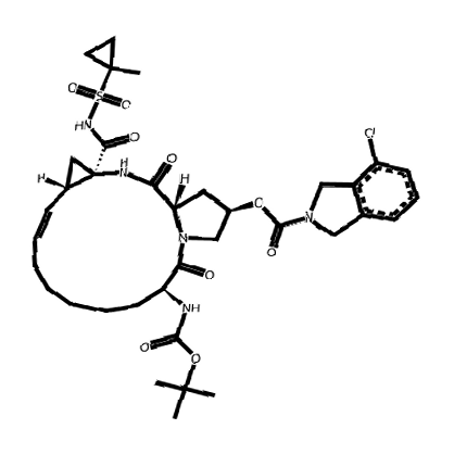 CC(C)(C)OC(=O)N[C@H]1CCCCC/C=C\[C@@H]2C[C@@]2(C(=O)NS(=O)(=O)C2(C)CC2)NC(=O)[C@@H]2C[C@@H](OC(=O)N3Cc4cccc(Cl)c4C3)CN2C1=O